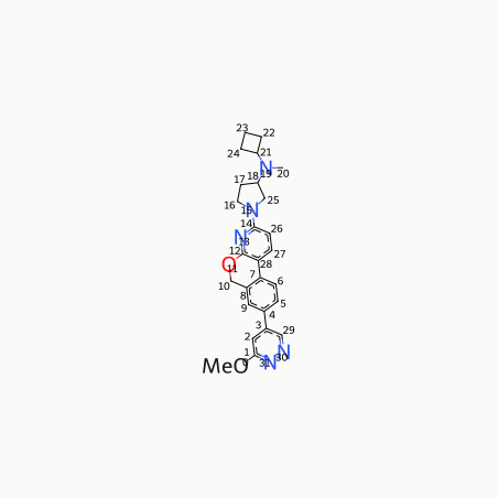 COc1cc(-c2ccc3c(c2)COc2nc(N4CCC(N(C)C5CCC5)C4)ccc2-3)cnn1